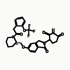 O=C1CCC(N2Cc3cc(OC[C@@H]4CCCCN4C(=O)Cc4ccccc4OC(F)(F)F)ccc3C2=O)C(=O)N1